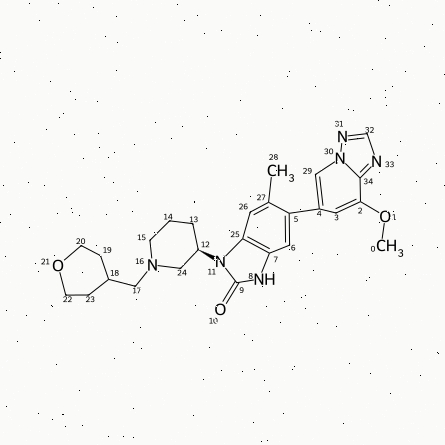 COc1cc(-c2cc3[nH]c(=O)n([C@@H]4CCCN(CC5CCOCC5)C4)c3cc2C)cn2ncnc12